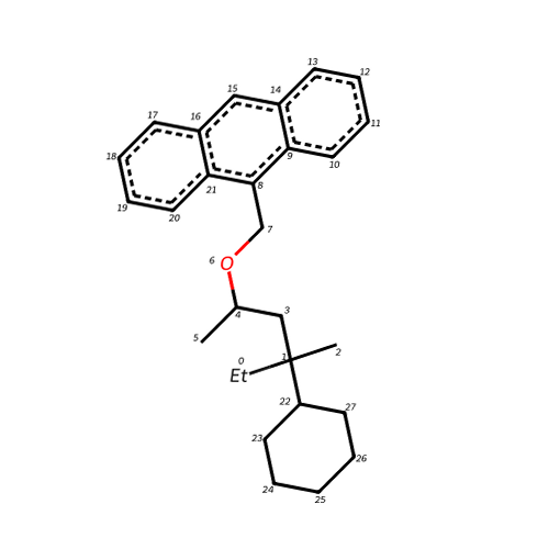 CCC(C)(CC(C)OCc1c2ccccc2cc2ccccc12)C1CCCCC1